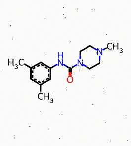 Cc1cc(C)cc(NC(=O)N2CCN(C)CC2)c1